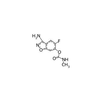 CNC(=O)Oc1cc2onc(N)c2cc1F